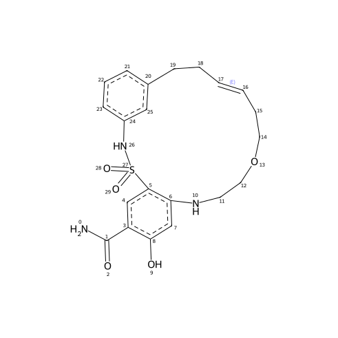 NC(=O)c1cc2c(cc1O)NCCOCC/C=C/CCc1cccc(c1)NS2(=O)=O